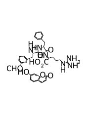 N=C(N)NCCCC(NC(=O)C(Cc1ccccc1)NC(=O)C(N)Cc1cccc(C=O)c1)C(=O)O.O=c1ccc2ccc(O)cc2o1